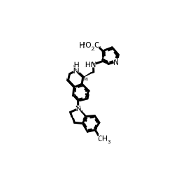 Cc1ccc2c(c1)CCN2c1ccc2c(c1)CCN[C@H]2CNc1cnccc1C(=O)O